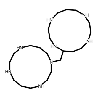 C1CNCCNCCC(CN2CCCNCCNCCCNCC2)NCCNC1